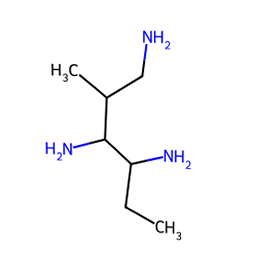 CCC(N)C(N)C(C)CN